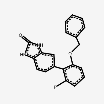 O=c1[nH]c2ccc(-c3c(F)cccc3OCc3ccccc3)cc2[nH]1